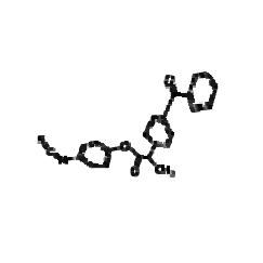 CC(C(=O)Oc1ccc(N=C=S)cc1)c1ccc(C(=O)c2ccccc2)cc1